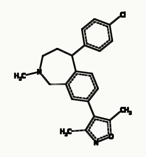 Cc1noc(C)c1-c1ccc2c(c1)CN(C)CCC2c1ccc(Cl)cc1